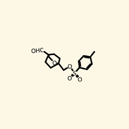 Cc1ccc(S(=O)(=O)OCC23CCC(C=O)(CC2)CO3)cc1